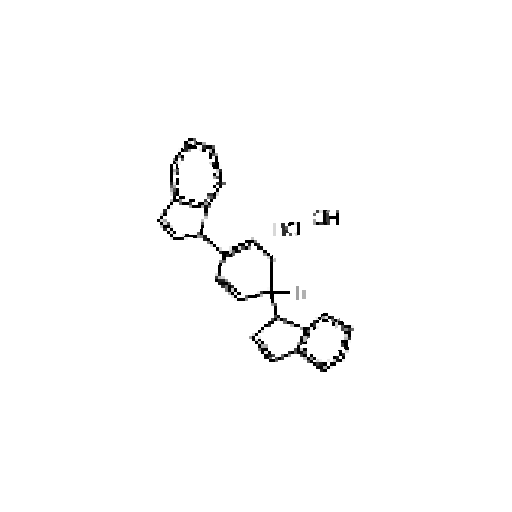 Cl.Cl.[Ti][C]1(C2C=Cc3ccccc32)C=CC(C2C=Cc3ccccc32)=CC1